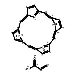 C1=Cc2cc3ccc(cc4nc(cc5ccc(cc1n2)[nH]5)C=C4)[nH]3.C=CC(=O)O